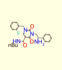 CCCCNC(=O)c1cn(Cc2ccccc2F)c(=O)n(C[C@H](N)c2ccccc2)c1=O